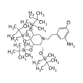 CC(C)(C)[Si](C)(C)OC[C@@H]1C(O[Si](C)(C)C(C)(C)C)C(O[Si](C)(C)C(C)(C)C)C(O[Si](C)(C)C(C)(C)C)CN1CCc1cc(N)cc(Cl)c1